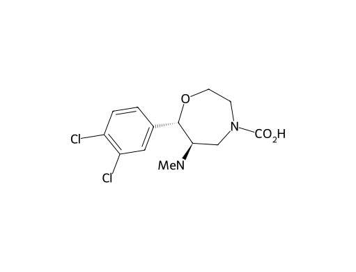 CN[C@@H]1CN(C(=O)O)CCO[C@H]1c1ccc(Cl)c(Cl)c1